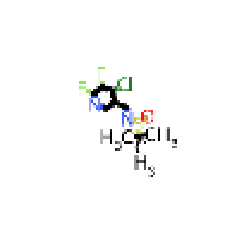 CC(C)(C)[S+]([O-])/N=C/c1cnc(F)c(F)c1Cl